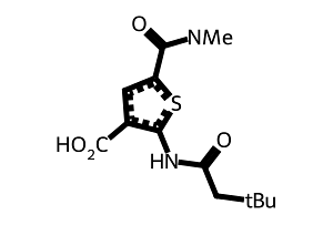 CNC(=O)c1cc(C(=O)O)c(NC(=O)CC(C)(C)C)s1